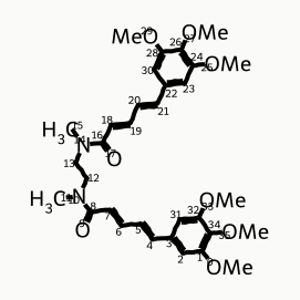 COc1cc(/C=C/C=C/C(=O)N(C)CCN(C)C(=O)/C=C/C=C/c2cc(OC)c(OC)c(OC)c2)cc(OC)c1OC